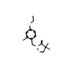 CCNc1ccc(CN2OCC(C)(C)C2=O)c(Cl)c1